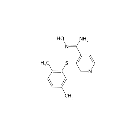 Cc1ccc(C)c(Sc2cnccc2C(N)=NO)c1